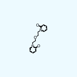 O=c1ccccn1CCOCCn1ccccc1=O